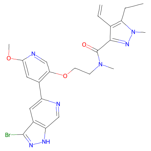 C=Cc1c(C(=O)N(C)CCOc2cnc(OC)cc2-c2cc3c(Br)n[nH]c3cn2)nn(C)c1CC